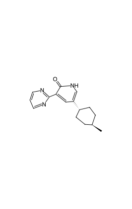 C[C@H]1CC[C@H](c2c[nH]c(=O)c(-c3ncccn3)c2)CC1